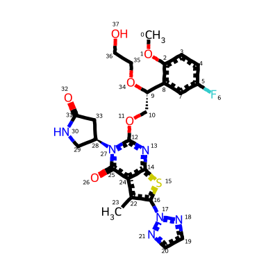 COc1ccc(F)cc1[C@H](COc1nc2sc(-n3nccn3)c(C)c2c(=O)n1[C@H]1CNC(=O)C1)OCCO